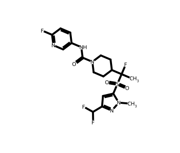 Cn1nc(C(F)F)cc1S(=O)(=O)C(C)(F)C1CCN(C(=O)Nc2ccc(F)nc2)CC1